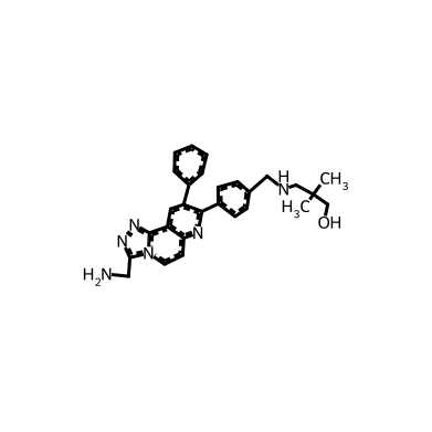 CC(C)(CO)CNCc1ccc(-c2nc3ccn4c(CN)nnc4c3cc2-c2ccccc2)cc1